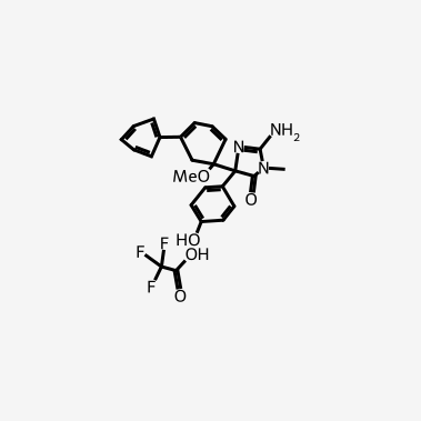 COC1(C2(c3ccc(O)cc3)N=C(N)N(C)C2=O)C=CC=C(c2ccccc2)C1.O=C(O)C(F)(F)F